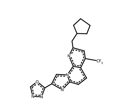 FC(F)(F)c1cc(CC2CCCC2)nc2c1ccc1nc(-c3nnco3)cn12